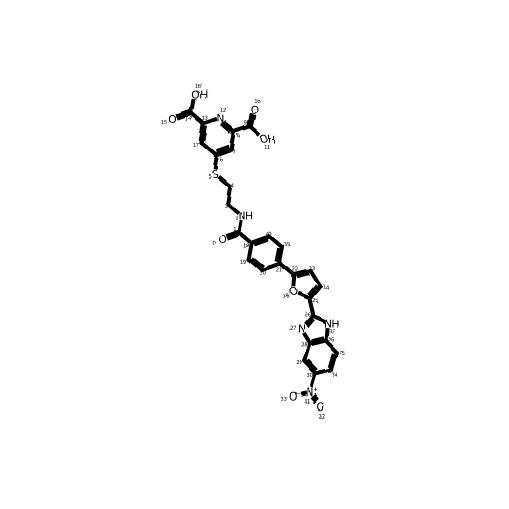 O=C(NCCSc1cc(C(=O)O)nc(C(=O)O)c1)c1ccc(-c2ccc(-c3nc4cc([N+](=O)[O-])ccc4[nH]3)o2)cc1